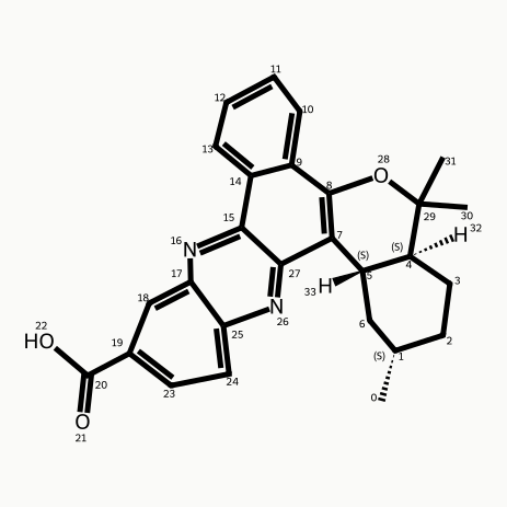 C[C@H]1CC[C@H]2[C@H](C1)c1c(c3ccccc3c3nc4cc(C(=O)O)ccc4nc13)OC2(C)C